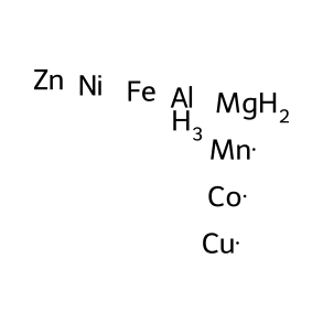 [AlH3].[Co].[Cu].[Fe].[MgH2].[Mn].[Ni].[Zn]